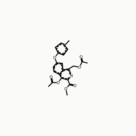 COC(=O)c1nc(COC(C)=O)c2cc(Oc3ccc(C)cc3)ccc2c1OC(C)=O